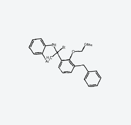 CCC(C)(Pc1ccccc1C(C)=O)c1cccc(Cc2ccccc2)c1OCOC